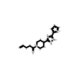 C=CCCC(=O)N1CCC(c2nc(-c3cccs3)no2)CC1